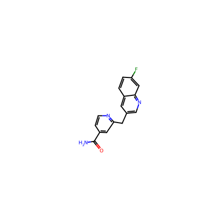 NC(=O)c1ccnc(Cc2cnc3cc(F)ccc3c2)c1